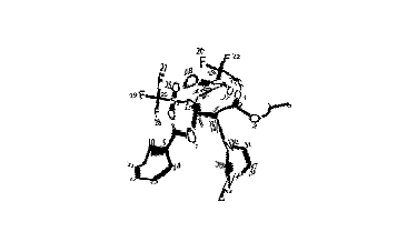 CCOC(=O)[C@H](C(OCc1ccccc1)=[N+](S(=O)(=O)C(F)(F)F)S(=O)(=O)C(F)(F)F)n1cc[n+](C)c1